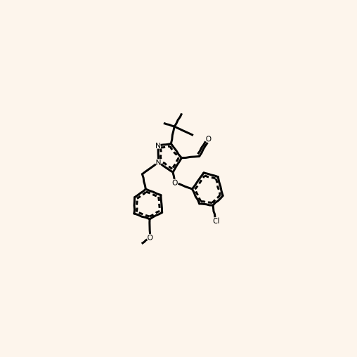 COc1ccc(Cn2nc(C(C)(C)C)c(C=O)c2Oc2cccc(Cl)c2)cc1